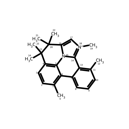 Cc1ccc2c3c1c1cccc(C)c1c1n3c(c[n+]1C)C(C)(C)C2(C)C